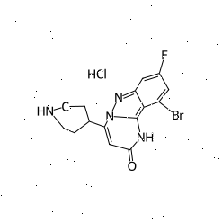 Cl.O=c1cc(C2CCNCC2)n2nc3cc(F)cc(Br)c3c2[nH]1